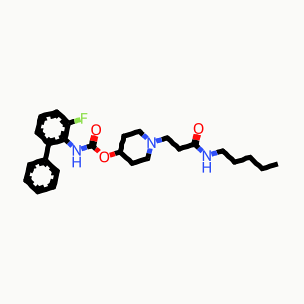 CCCCCNC(=O)CCN1CCC(OC(=O)Nc2c(F)cccc2-c2ccccc2)CC1